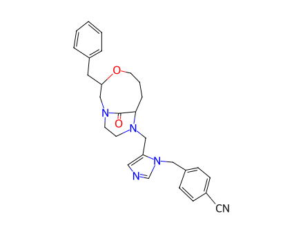 N#Cc1ccc(Cn2cncc2CN2CCN3CC(Cc4ccccc4)OCCCC2C3=O)cc1